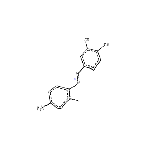 Cc1cc(N)ccc1/N=N/c1ccc(C#N)c(C#N)c1